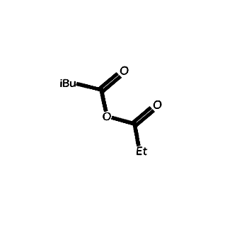 CCC(=O)OC(=O)C(C)CC